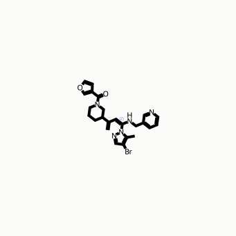 C=C(/C=C(/NCc1cccnc1)n1ncc(Br)c1C)C1CCCN(C(=O)c2ccoc2)C1